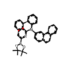 CC1(C)OB(c2cccc(N(c3ccc4ccc5ccccc5c4c3)c3ccccc3-c3ccccc3)n2)OC1(C)C